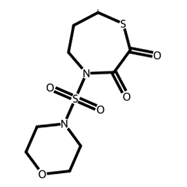 O=C1S[CH]CCN(S(=O)(=O)N2CCOCC2)C1=O